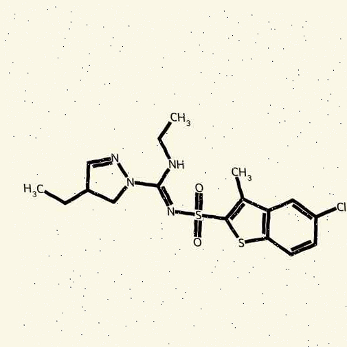 CCN/C(=N\S(=O)(=O)c1sc2ccc(Cl)cc2c1C)N1CC(CC)C=N1